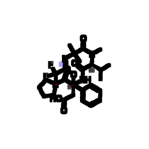 CC(C)[C@@H](C(=O)N[C@@H](CC(=O)O)C(=O)N1CCCC1)N(C)C(=O)C(C)(C)/N=C(\OCc1ccccc1)C(F)(F)F